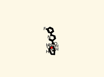 O=C(N[C@H]1C[C@H]2CC[C@@H](C1)N2C(=O)O)c1ccc(-c2cccc(F)c2)nc1